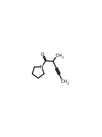 [CH2]C#CC(C)C(=O)N1CCCC1